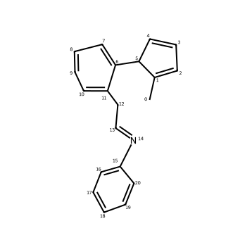 CC1=CC=CC1c1ccccc1CC=Nc1ccccc1